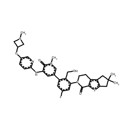 CN1CC(Oc2ccc(Nc3cc(-c4cc(F)cc(N5CCc6c(sc7c6CC(C)(C)C7)C5=O)c4CO)cn(C)c3=O)nc2)C1